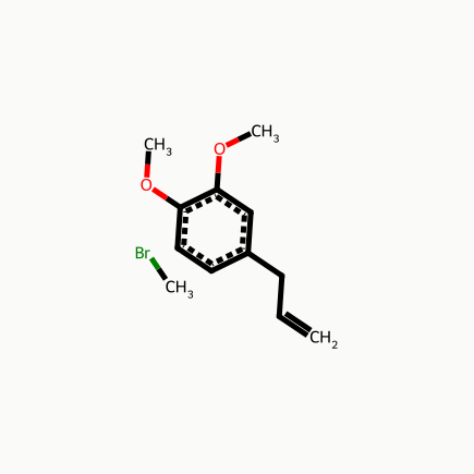 C=CCc1ccc(OC)c(OC)c1.CBr